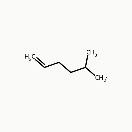 [CH2]C(C)CCC=C